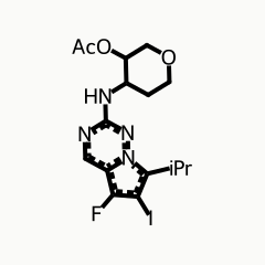 CC(=O)OC1COCCC1Nc1ncc2c(F)c(I)c(C(C)C)n2n1